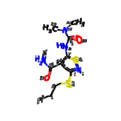 CC(C)CCSc1nsc(NC(=O)N(C)C)c1C(N)=O